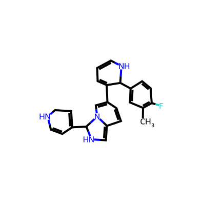 Cc1cc(C2NC=CC=C2C2=CN3C(=CNC3C3=CCNC=C3)C=C2)ccc1F